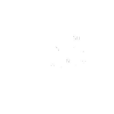 O=C1Nc2ccccc2C(c2ccccc2)=N[C@H]1N1C(=O)c2ccccc2C1=O